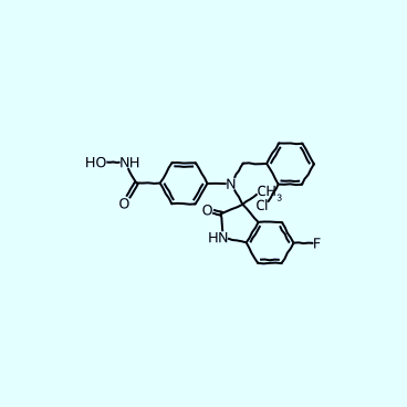 CC1(N(Cc2ccccc2Cl)c2ccc(C(=O)NO)cc2)C(=O)Nc2ccc(F)cc21